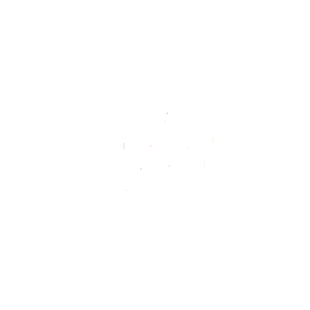 CC(C)(F)COS(=O)(=O)C(C)(F)F